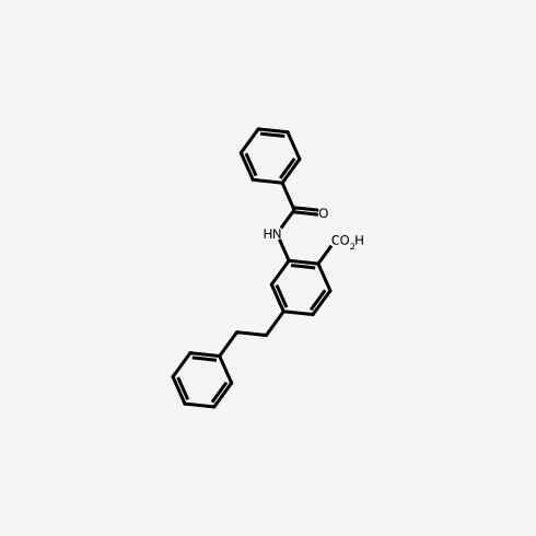 O=C(Nc1cc(CCc2ccccc2)ccc1C(=O)O)c1ccccc1